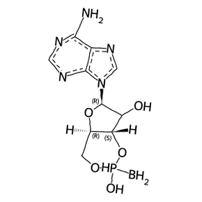 B[PH]1(O)OC[C@H]2O[C@@H](n3cnc4c(N)ncnc43)C(O)[C@@H]2O1